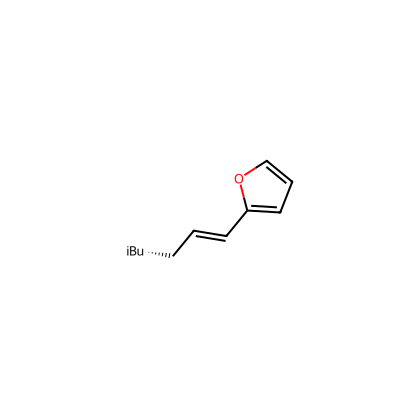 CC[C@@H](C)C/C=C/c1ccco1